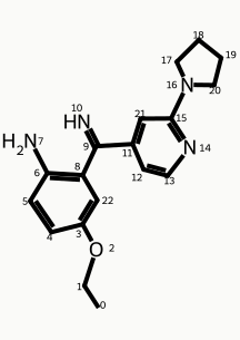 CCOc1ccc(N)c(C(=N)c2ccnc(N3CCCC3)c2)c1